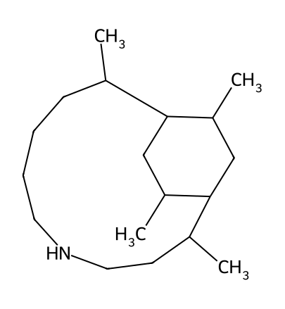 CC1CCCCNCCC(C)C2CC(C)C1CC2C